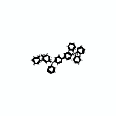 c1ccc(N(c2ccc(-c3ccc([Si](c4ccccc4)(c4ccccc4)c4ccccc4)cc3)cc2)c2ccc3oc4ccccc4c3c2)cc1